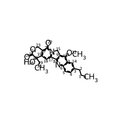 CCCc1ccc2nc3c(c(OC)c2c1)Cn1c-3cc2c(c1=O)COC(=O)[C@]2(O)CC